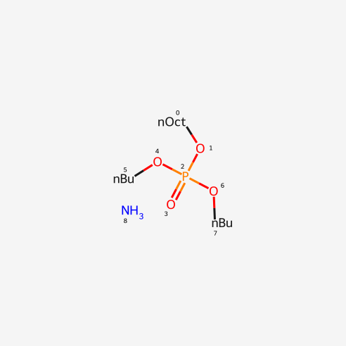 CCCCCCCCOP(=O)(OCCCC)OCCCC.N